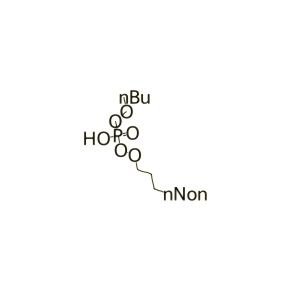 CCCCCCCCCCCCOOP(=O)(O)OOCCCC